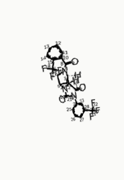 O=C1[C@H]2[C@H]3CC(CN3C(=O)c3ccccc3C(F)(F)F)N2C(=O)N1c1cccc(C(F)(F)F)c1